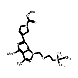 COc1nc(C2=CCN(C(=O)OC(C)(C)C)C2)nc2c1c(C(F)(F)F)nn2COCC[Si](C)(C)C